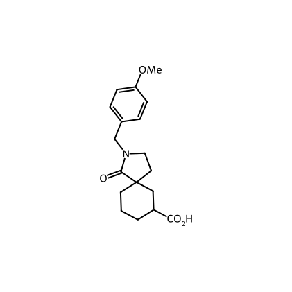 COc1ccc(CN2CCC3(CCCC(C(=O)O)C3)C2=O)cc1